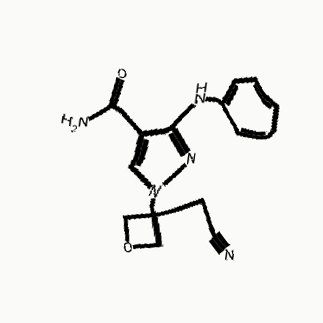 N#CCC1(n2cc(C(N)=O)c(Nc3ccccc3)n2)COC1